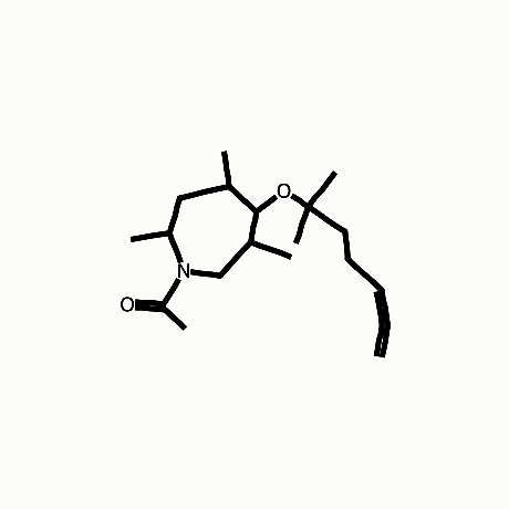 C=C=CCCC(C)(C)OC1C(C)CC(C)N(C(C)=O)CC1C